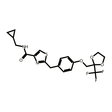 O=C(NCC1CC1)c1csc(Cc2ccc(OCC3(C(F)(F)F)OCCO3)cc2)n1